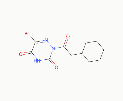 O=C(CC1CCCCC1)n1nc(Br)c(=O)[nH]c1=O